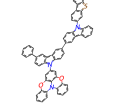 c1ccc(-c2ccc3c(c2)c2cc(-c4ccc5c(c4)c4ccccc4n5-c4ccc5c(c4)sc4ccccc45)ccc2n3-c2cc3c4c(c2)Oc2ccccc2N4c2ccccc2O3)cc1